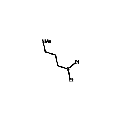 CCB(CC)CCCNC